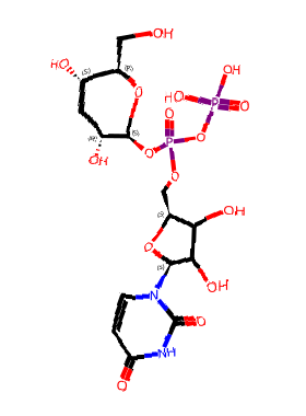 O=c1ccn([C@H]2O[C@@H](COP(=O)(O[C@@H]3O[C@H](CO)[C@@H](O)C[C@H]3O)OP(=O)(O)O)C(O)C2O)c(=O)[nH]1